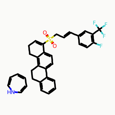 C1=CC=CNC=C1.O=S(=O)(CC=Cc1ccc(F)c(C(F)(F)F)c1)C1=CCCc2c1ccc1c2CCc2ccccc2-1